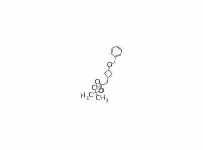 CC(C)(C)OC(=O)C[C@H]1C[C@@H](OCc2ccccc2)C1